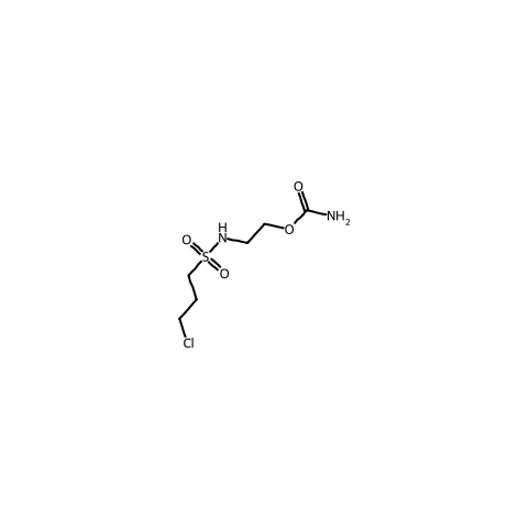 NC(=O)OCCNS(=O)(=O)CCCCl